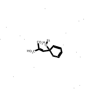 CCOC1(C=C(C(=O)O)C(=O)O)C=CC=CC1